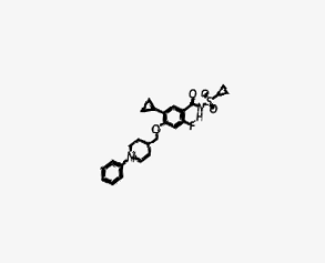 O=C(NS(=O)(=O)C1CC1)c1cc(C2CC2)c(OCC2CCN(c3ccccc3)CC2)cc1F